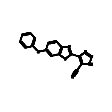 N#Cc1[nH]nnc1-c1nc2ccc(Oc3ccccc3)cc2s1